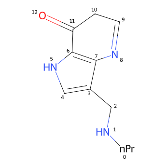 CCCNCc1c[nH]c2c1N=CCC2=O